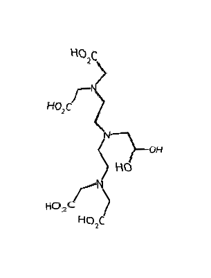 O=C(O)CN(CCN(CCN(CC(=O)O)CC(=O)O)CC(O)O)CC(=O)O